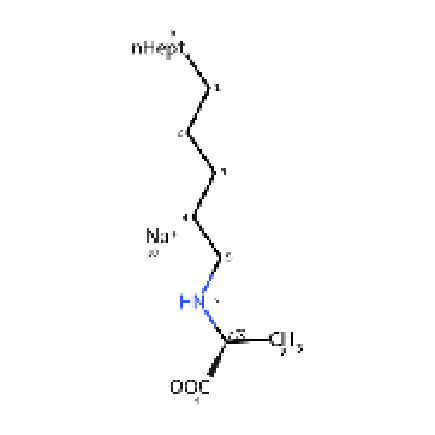 CCCCCCCCCCCCN[C@@H](C)C(=O)[O-].[Na+]